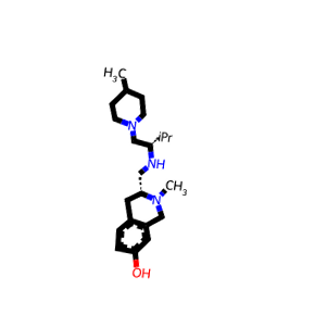 CC1CCN(C[C@@H](NC[C@H]2Cc3ccc(O)cc3CN2C)C(C)C)CC1